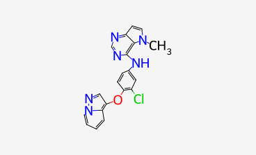 Cn1ccc2ncnc(Nc3ccc(Oc4cnn5ccccc45)c(Cl)c3)c21